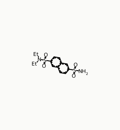 CCN(CC)S(=O)(=O)c1ccc2cc(S(N)(=O)=O)ccc2c1